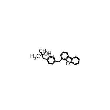 CC(C)(C)Cc1ccc(Cc2cccc3c2oc2ccccc23)cc1